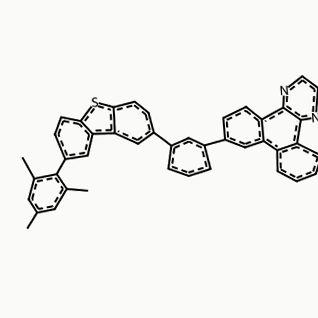 Cc1cc(C)c(-c2ccc3sc4ccc(-c5cccc(-c6ccc7c(c6)c6ccccc6c6nccnc76)c5)cc4c3c2)c(C)c1